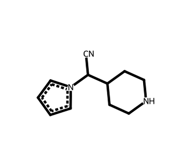 N#CC(C1CCNCC1)n1cccc1